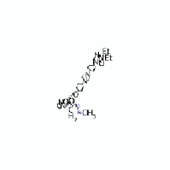 C=C(/C=C\C=C/C)[C@]1(Cn2cccn2)OC[C@@H](COc2ccc(N3CCN(c4ccc(-n5cnn(C(CC)CC)c5=O)cc4)CC3)cc2)O1